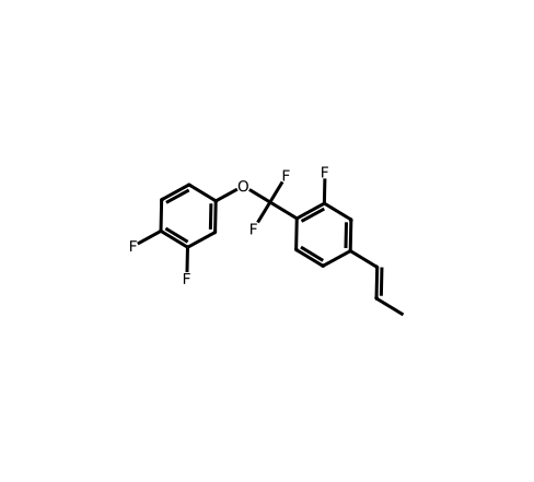 C/C=C/c1ccc(C(F)(F)Oc2ccc(F)c(F)c2)c(F)c1